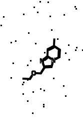 CCOCc1cn2ccc(C)cc2n1